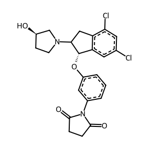 O=C1CCC(=O)N1c1cccc(O[C@H]2c3cc(Cl)cc(Cl)c3CC2N2CC[C@@H](O)C2)c1